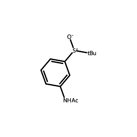 CC(=O)Nc1cccc([S+]([O-])C(C)(C)C)c1